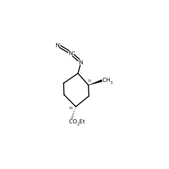 CCOC(=O)[C@@H]1CCC(N=[N+]=[N-])[C@@H](C)C1